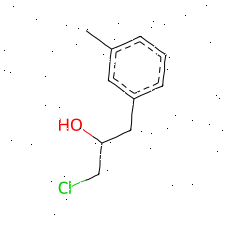 Cc1cccc(CC(O)CCl)c1